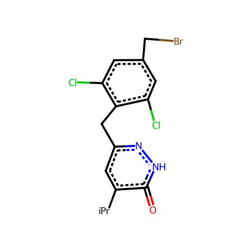 CC(C)c1cc(Cc2c(Cl)cc(CBr)cc2Cl)n[nH]c1=O